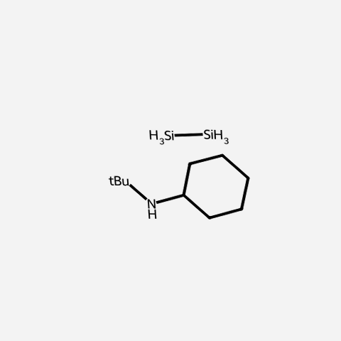 CC(C)(C)NC1CCCCC1.[SiH3][SiH3]